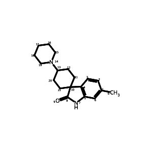 Cc1ccc2c(c1)NC(=O)C21CCC(N2CCCCC2)CC1